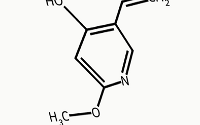 C=Cc1cnc(OC)cc1O